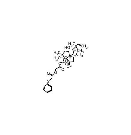 C=CC(C)(C)[C@@H](O)[C@H](C)[C@]12CCC(=O)[C@H]1[C@](C)(C(C)OC(=O)COC(=O)CSc1ccccc1)[C@H](C)CC2